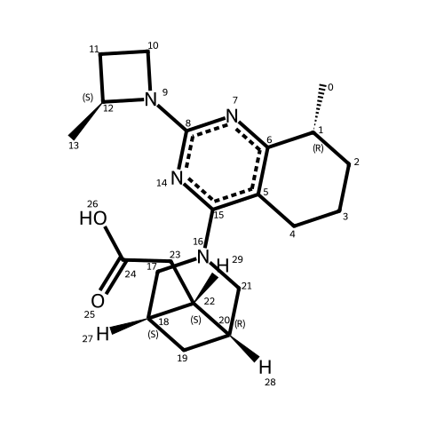 C[C@@H]1CCCc2c1nc(N1CC[C@@H]1C)nc2N1C[C@H]2C[C@@H](C1)[C@H]2CC(=O)O